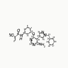 C=C(C#N)C(=O)Nc1cccc(Oc2ncnc(N)c2-c2cnn(Cc3ccccc3)c2)c1